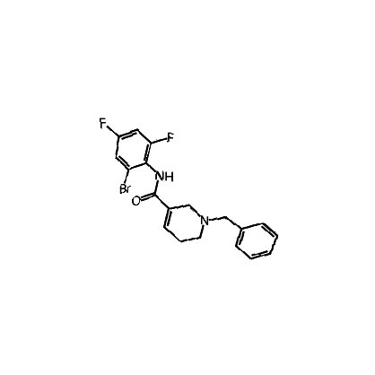 O=C(Nc1c(F)cc(F)cc1Br)C1=CCCN(Cc2ccccc2)C1